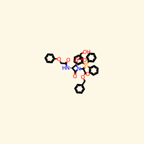 O=C(COc1ccccc1)N[C@H]1C(=O)N(C(C(=O)OCc2ccccc2)=P(c2ccccc2)(c2ccccc2)c2ccccc2)[C@H]1OC(=O)CO